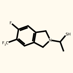 CC(S)N1Cc2cc(F)c(C(F)(F)F)cc2C1